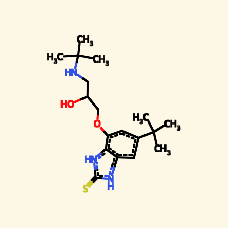 CC(C)(C)NCC(O)COc1cc(C(C)(C)C)cc2[nH]c(=S)[nH]c12